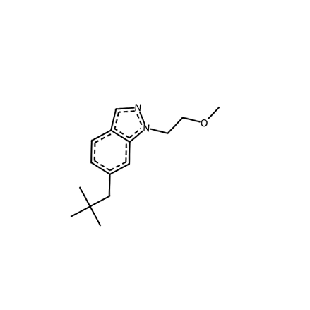 COCCn1ncc2ccc(CC(C)(C)C)cc21